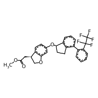 COC(=O)C[C@@H]1COc2cc(O[C@@H]3CCc4c(-c5ccccc5C(F)(F)C(F)(F)F)cccc43)ccc21